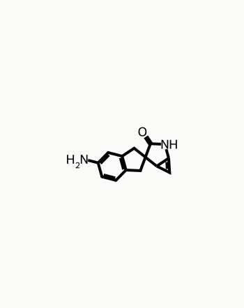 Nc1ccc2c(c1)CC1(C2)C(=O)NC2=CC21